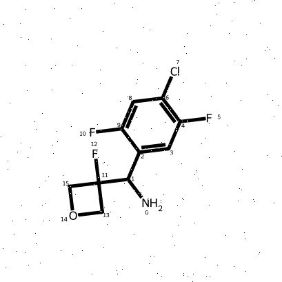 NC(c1cc(F)c(Cl)cc1F)C1(F)COC1